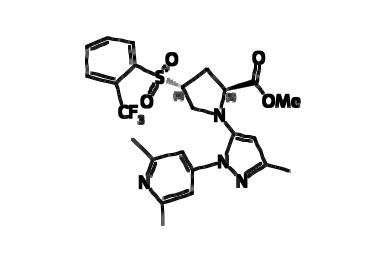 COC(=O)[C@@H]1C[C@@H](S(=O)(=O)c2ccccc2C(F)(F)F)CN1c1cc(C)nn1-c1cc(C)nc(C)c1